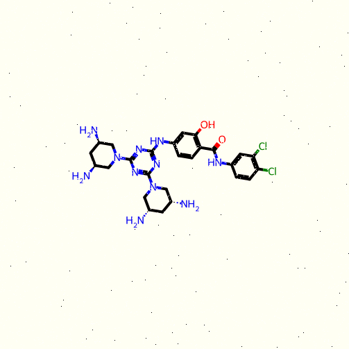 N[C@@H]1C[C@H](N)CN(c2nc(Nc3ccc(C(=O)Nc4ccc(Cl)c(Cl)c4)c(O)c3)nc(N3C[C@H](N)C[C@H](N)C3)n2)C1